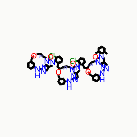 Cc1cccc(C)c1N1Cc2cnc3nc2N(C/C=C\C(Cc2cccc(Cl)c2N2Cc4cnc5nc4N(C/C=C\C(Cc4cccc(Cl)c4N4Cc6cnc7nc6N(C/C=C/COCc6cccc(c6)N7)C4=O)OCc4cccc(c4)N5)C2=O)OCc2cccc(c2)N3)C1=O